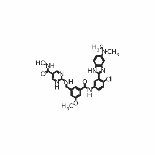 COc1cc(CNC2N=CC(C(=O)NO)=CN2)cc(C(=O)Nc2ccc(Cl)c(-c3nc4cc(N(C)C)ccc4[nH]3)c2)c1